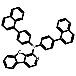 c1ccc2c(-c3ccc(N(c4ccc(-c5cccc6ccccc56)cc4)c4nccc5c4oc4ccccc45)cc3)cccc2c1